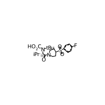 CC(C)[C@@H](C(=O)N1CCC(S(=O)(=O)c2ccc(F)cc2)CC1)N(C(=O)O)C(C)(C)C